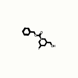 O=C(OCc1ccccc1)N1CC(I)CC(CO)C1